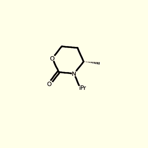 CC(C)N1C(=O)OCC[C@@H]1C